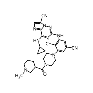 CN1CCCC(C(=O)N2CCN(c3cc(C#N)cc(Nc4nc(NC5CC5)c5ncc(C#N)n5n4)c3Cl)CC2)C1